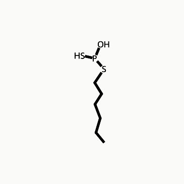 CCCCCCSP(O)S